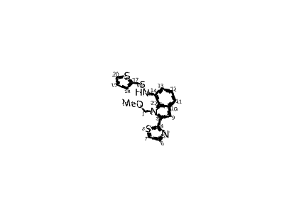 COCn1c(-c2nccs2)cc2cccc(NSc3cccs3)c21